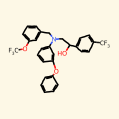 OC(CN(Cc1cccc(OC(F)(F)F)c1)c1cccc(Oc2ccccc2)c1)c1ccc(C(F)(F)F)cc1